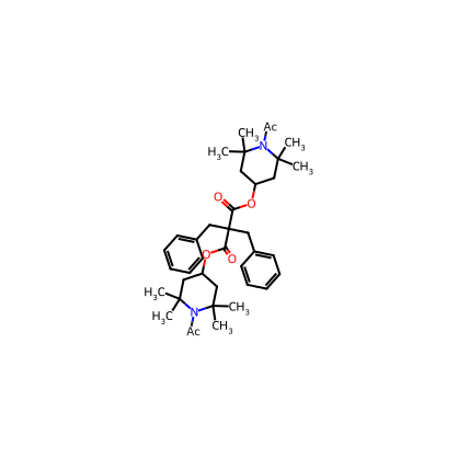 CC(=O)N1C(C)(C)CC(OC(=O)C(Cc2ccccc2)(Cc2ccccc2)C(=O)OC2CC(C)(C)N(C(C)=O)C(C)(C)C2)CC1(C)C